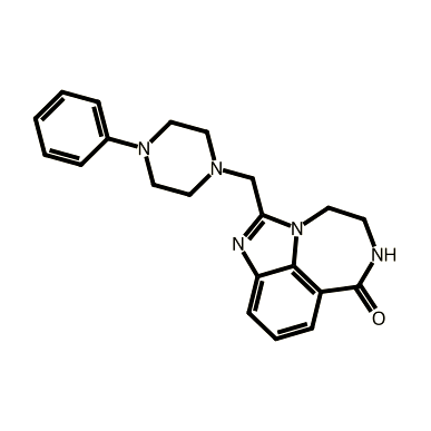 O=C1NCCn2c(CN3CCN(c4ccccc4)CC3)nc3cccc1c32